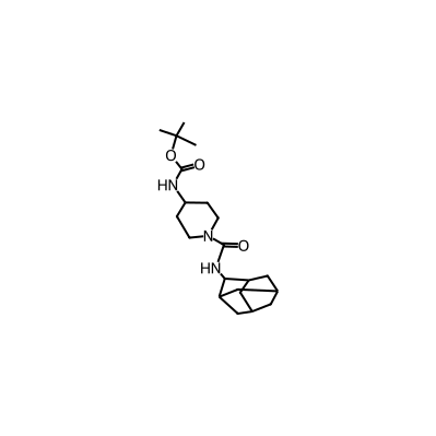 CC(C)(C)OC(=O)NC1CCN(C(=O)NC2C3CC4CC(C3)CC2C4)CC1